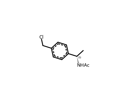 CC(=O)N[C@@H](C)c1ccc(CCl)cc1